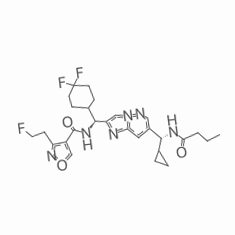 CCCC(=O)N[C@@H](c1cnn2cc([C@@H](NC(=O)c3conc3CCF)C3CCC(F)(F)CC3)nc2c1)C1CC1